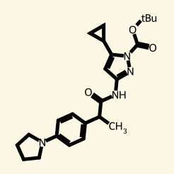 CC(C(=O)Nc1cc(C2CC2)n(C(=O)OC(C)(C)C)n1)c1ccc(N2CCCC2)cc1